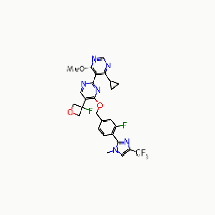 COc1ncnc(C2CC2)c1-c1ncc(C2(F)COC2)c(OCc2ccc(-c3nc(C(F)(F)F)cn3C)c(F)c2)n1